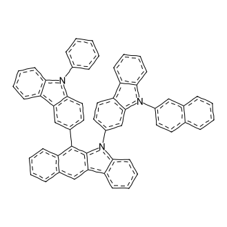 c1ccc(-n2c3ccccc3c3cc(-c4c5ccccc5cc5c6ccccc6n(-c6ccc7c8ccccc8n(-c8ccc9ccccc9c8)c7c6)c45)ccc32)cc1